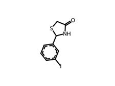 O=C1CSC(c2cccc(I)c2)N1